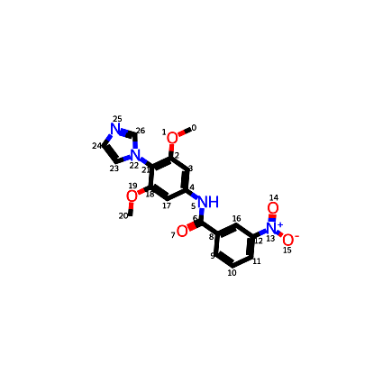 COc1cc(NC(=O)c2cccc([N+](=O)[O-])c2)cc(OC)c1-n1ccnc1